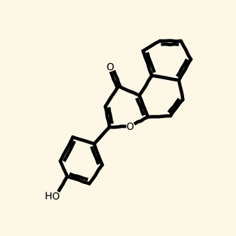 O=c1cc(-c2ccc(O)cc2)oc2ccc3ccccc3c12